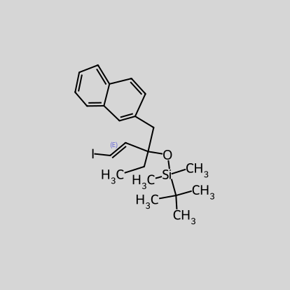 CCC(/C=C/I)(Cc1ccc2ccccc2c1)O[Si](C)(C)C(C)(C)C